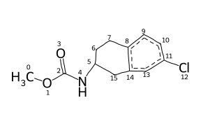 COC(=O)NC1CCc2ccc(Cl)cc2C1